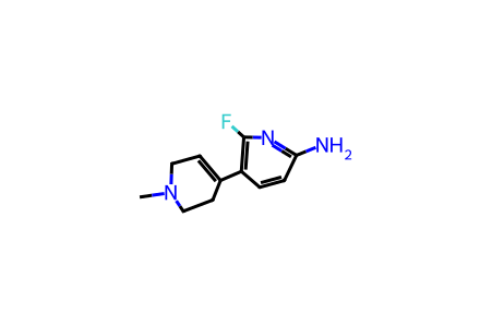 CN1CC=C(c2ccc(N)nc2F)CC1